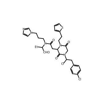 CCC(C=O)N(CCCn1ccnc1)C(=O)CC1C(=O)N(C(Cl)Cc2ccc(Cl)cc2)CC(=O)N1CCc1cccs1